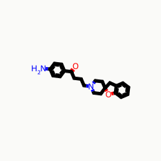 Nc1ccc(C(=O)CCCN2CCC3(CC2)Cc2ccccc2O3)cc1